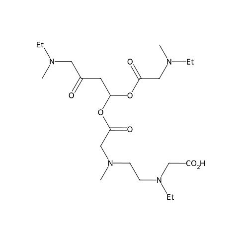 CCN(C)CC(=O)CC(OC(=O)CN(C)CC)OC(=O)CN(C)CCN(CC)CC(=O)O